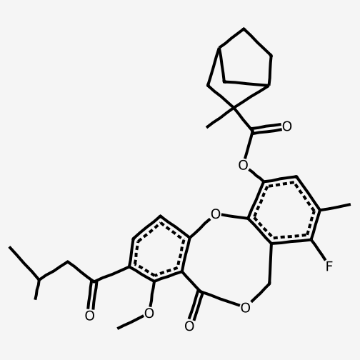 COc1c(C(=O)CC(C)C)ccc2c1C(=O)OCc1c(F)c(C)cc(OC(=O)C3(C)CC4CCC3C4)c1O2